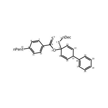 CCCCCCCCCCSC1(OC(=S)c2ccc(CCCCC)cc2)C=CC(c2ccccc2)C=C1